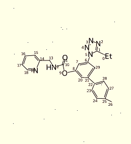 CCc1nnnn1-c1cc(OC(=O)NCc2ccccn2)cc(-c2ccc(C)cc2)c1